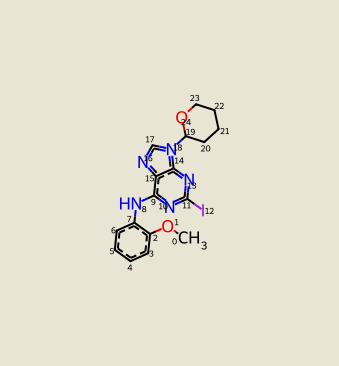 COc1ccccc1Nc1nc(I)nc2c1ncn2C1CCCCO1